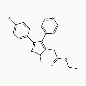 CCOC(=O)Cc1c(-c2ccncc2)c(-c2ccc(F)cc2)nn1C